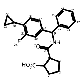 O=C(O)C1CCCC1C(=O)NC(c1ccccc1)c1ccc(C2CC2)c(F)c1